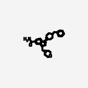 NC(=O)c1ccc2c(c1)c(CN1CCOCC1)cn2N1CCC(Cc2ccccc2)CC1